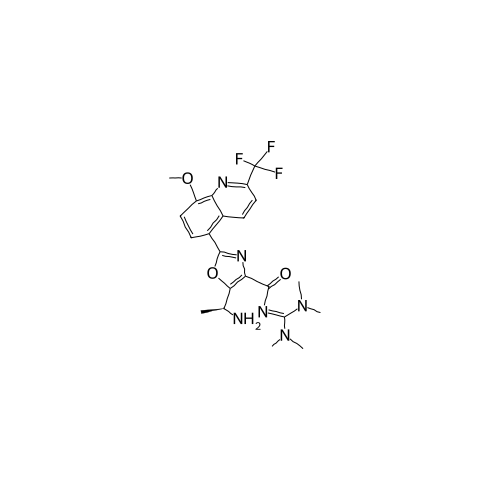 COc1ccc(-c2nc(C(=O)N=C(N(C)C)N(C)C)c([C@H](C)N)o2)c2ccc(C(F)(F)F)nc12